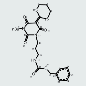 CCCCN1C(=O)C(=C2SCCCS2)C(=O)N(CCCNC(=O)OCc2ccccc2)C1=O